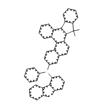 CC1(C)c2ccccc2-c2c1c1ccc3cc(N(c4ccccc4)c4cccc5sc6ccccc6c45)ccc3c1c1ccccc21